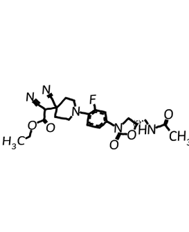 CCOC(=O)C(C#N)C1(C#N)CCN(c2ccc(N3C[C@H](CNC(C)=O)OC3=O)cc2F)CC1